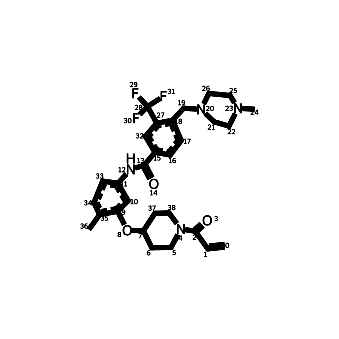 C=CC(=O)N1CCC(Oc2cc(NC(=O)c3ccc(CN4CCN(C)CC4)c(C(F)(F)F)c3)ccc2C)CC1